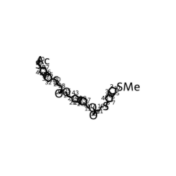 CSC1CC2CC1C1CC(SCCC(=O)OCC3CC4CC3C3CC(COC(=O)CCSC5CC6CC5C5CC(SC(C)=O)CC65)CC43)CC21